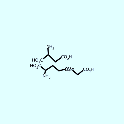 CSCCC(N)C(=O)O.NC(CC(=O)O)C(=O)O.NCC(=O)O